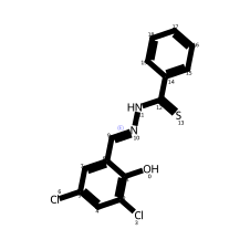 Oc1c(Cl)cc(Cl)cc1/C=N/NC(=S)c1ccccc1